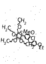 C=CCOC[C@H]1S[C@@H](c2cc(Cc3ccc(OCC)cc3)c(Cl)cc2OC)[C@H](OCC=C)[C@@H](OCC=C)[C@@H]1OCC=C